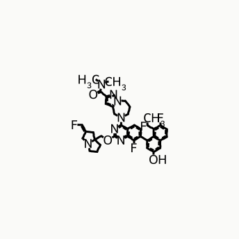 CCc1c(F)ccc2cc(O)cc(-c3c(F)cc4c(N5CCCn6nc(C(=O)N(C)C)cc6C5)nc(OCC56CCCN5C/C(=C\F)C6)nc4c3F)c12